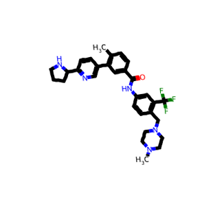 Cc1ccc(C(=O)Nc2ccc(CN3CCN(C)CC3)c(C(F)(F)F)c2)cc1-c1ccc(C2CCCN2)nc1